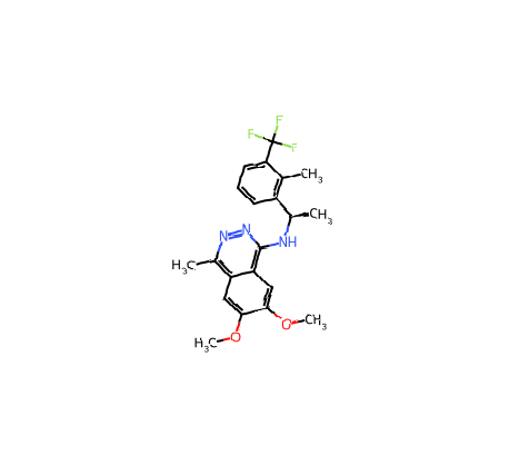 COc1cc2c(C)nnc(N[C@H](C)c3cccc(C(F)(F)F)c3C)c2cc1OC